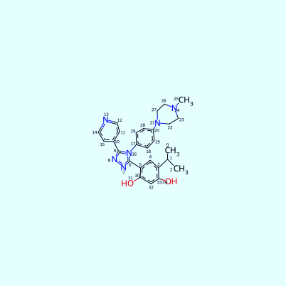 CC(C)c1cc(-c2nnc(-c3ccncc3)n2-c2ccc(N3CCN(C)CC3)cc2)c(O)cc1O